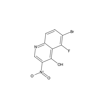 O=[N+]([O-])c1cnc2ccc(Br)c(F)c2c1O